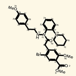 COC(=O)c1cc(Br)c(CC(=O)N(NCCc2ccc(OC)cc2)c2ccccc2N2CCCCC2)cc1OC